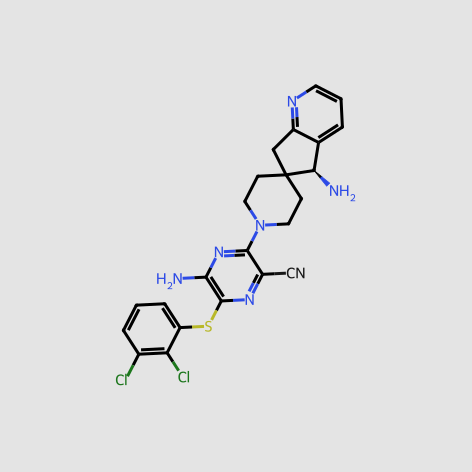 N#Cc1nc(Sc2cccc(Cl)c2Cl)c(N)nc1N1CCC2(CC1)Cc1ncccc1[C@H]2N